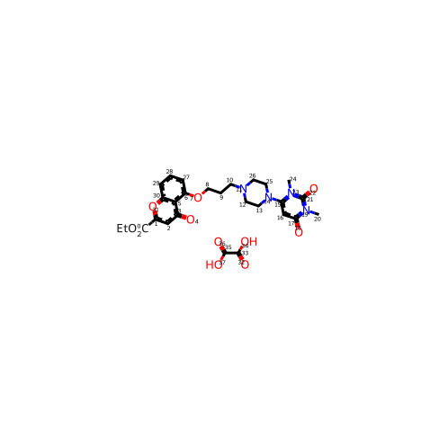 CCOC(=O)c1cc(=O)c2c(OCCCN3CCN(c4cc(=O)n(C)c(=O)n4C)CC3)cccc2o1.O=C(O)C(=O)O